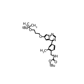 Cc1cc(-c2ncnn3cc(OCCCO[Si](C)(C)C(C)(C)C)cc23)ccc1CNC(=O)OC(C)(C)C